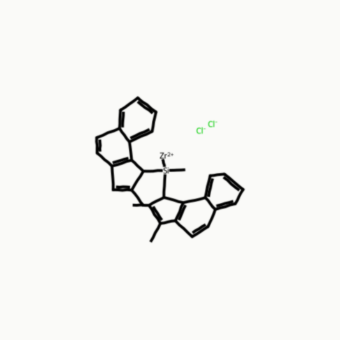 CC1=Cc2ccc3ccccc3c2C1[Si](C)([Zr+2])C1C(C)=C(C)c2ccc3ccccc3c21.[Cl-].[Cl-]